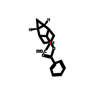 CCOC(=O)NC1C2CC(OC(=O)c3ccccc3)CC1[C@@H]1C[C@H]21